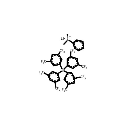 C[NH+](C)c1ccccc1.FC(F)(F)c1cc([B-](c2cc(C(F)(F)F)cc(C(F)(F)F)c2)(c2cc(C(F)(F)F)cc(C(F)(F)F)c2)c2cc(C(F)(F)F)cc(C(F)(F)F)c2)cc(C(F)(F)F)c1.[LiH]